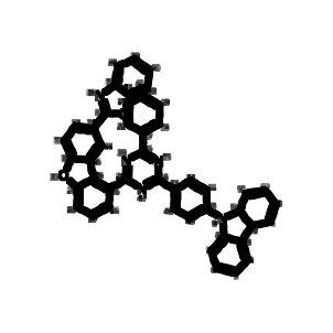 C1=CC2c3ccccc3N(c3ccc(-c4nc(-c5ccccc5)nc(-c5cccc6oc7ccc(-c8nc9ccccc9o8)cc7c56)n4)cc3)C2C=C1